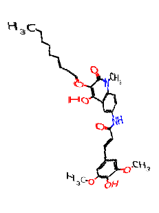 CCCCCCCCOc1c(O)c2cc(NC(=O)C=Cc3cc(OC)c(O)c(OC)c3)ccc2n(C)c1=O